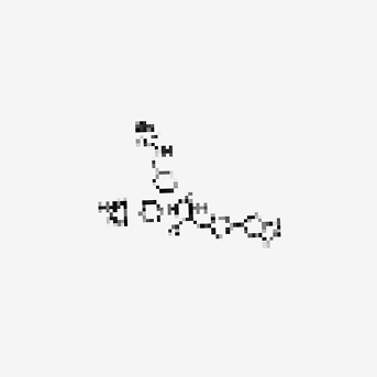 Cn1cnc2ccc(-c3ccc(C[C@H](N)C(=O)N(c4ccc(-c5nn[nH]n5)cc4)C(=O)[C@H]4CC[C@H](CNC(=O)OC(C)(C)C)CC4)cc3)cc21